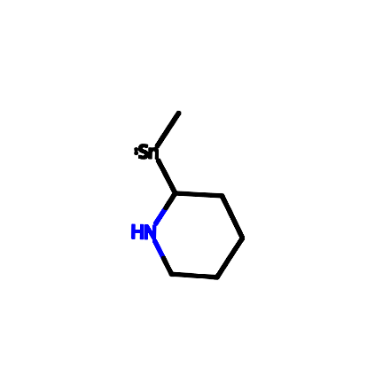 [CH3][Sn][CH]1CCCCN1